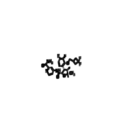 C[C@@H]1[C@@H](c2ccc(F)c(F)c2OCC2CC(F)(F)C2)[C@H](C(=O)Nc2ccnc(C(N)=O)c2)O[C@@]1(C)C(F)(F)F